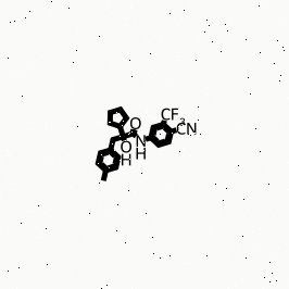 Cc1ccc(CC(O)(C(=O)Nc2ccc(C#N)c(C(F)(F)F)c2)C2CCCC2)cc1